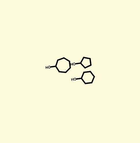 OC1CCCC1.OC1CCCCC1.OC1CCCCCC1